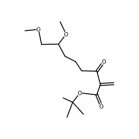 C=C(C(=O)CCCC(COC)OC)C(=O)OC(C)(C)C